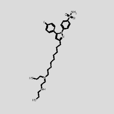 NS(=O)(=O)c1ccc(-n2nc(CCCCCCCCCN(CCS)CCNCCS)cc2-c2ccc(F)cc2)cc1